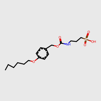 CCCCCCOc1ccc(COC(=O)NCCCS(=O)(=O)O)cc1